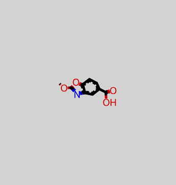 COc1nc2cc(C(=O)O)ccc2o1